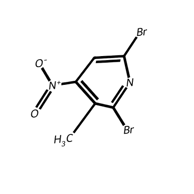 Cc1c([N+](=O)[O-])cc(Br)nc1Br